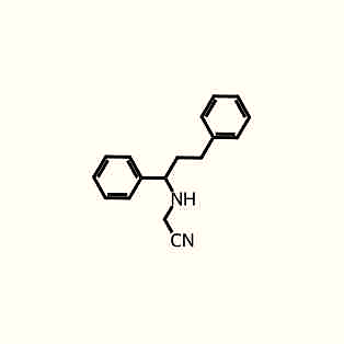 N#CCNC(CCc1ccccc1)c1ccccc1